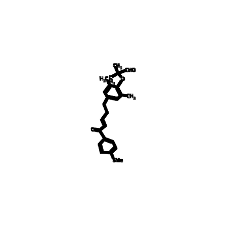 CSc1ccc(C(=O)/C=C/CCc2cc(C)c(OC(C)(C)C=O)c(C)c2)cc1